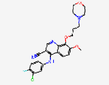 COc1ccc2c(Nc3ccc(F)c(Cl)c3)c(C#N)cnc2c1OCCCN1CCOCC1